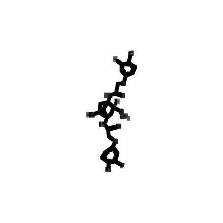 CO[C@H]1C[C@]2(NC(=O)COc3ccc(Cl)c(F)c3)CC[C@@]1(NC(=O)COc1ccc(Cl)c(F)c1)CC2O